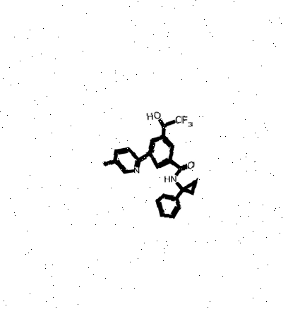 Cc1ccc(-c2cc(C(=O)NC3(c4ccccc4)CC3)cc(C(O)C(F)(F)F)c2)nc1